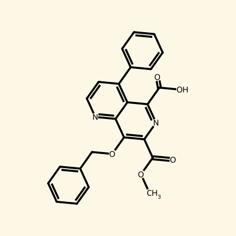 COC(=O)c1nc(C(=O)O)c2c(-c3ccccc3)ccnc2c1OCc1ccccc1